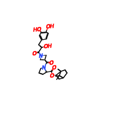 CC1(C)C2CCC1(C)C(OC(=O)C1CCCN1C(=O)C1CN(C(=O)C(O)Cc3ccc(O)c(O)c3)C1)C2